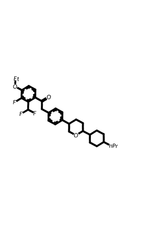 CCCC1CCC(C2CCC(c3ccc(CC(=O)c4ccc(OCC)c(F)c4C(F)F)cc3)CO2)CC1